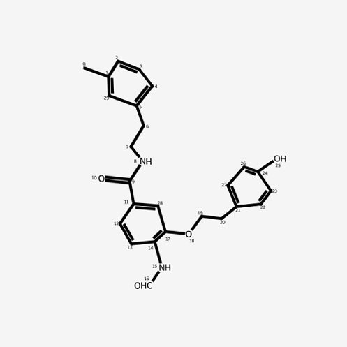 Cc1cccc(CCNC(=O)c2ccc(NC=O)c(OCCc3ccc(O)cc3)c2)c1